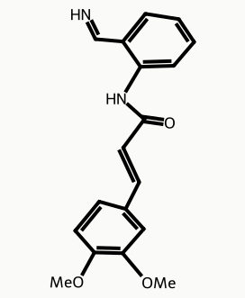 COc1ccc(/C=C/C(=O)Nc2ccccc2C=N)cc1OC